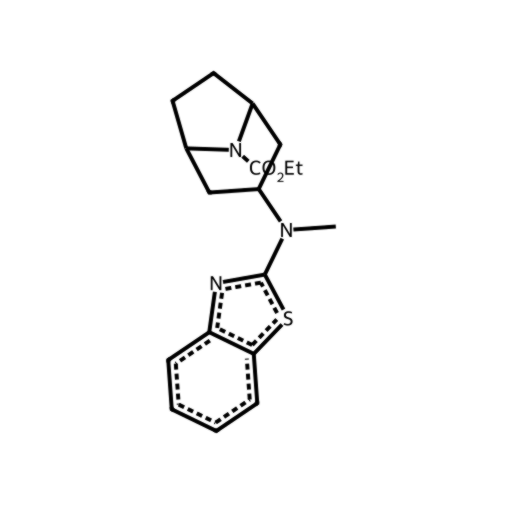 CCOC(=O)N1C2CCC1CC(N(C)c1nc3ccccc3s1)C2